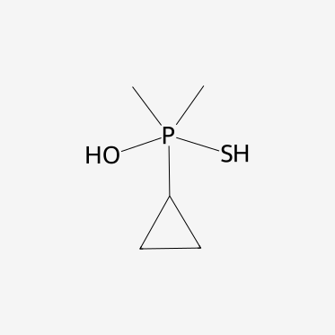 CP(C)(O)(S)C1CC1